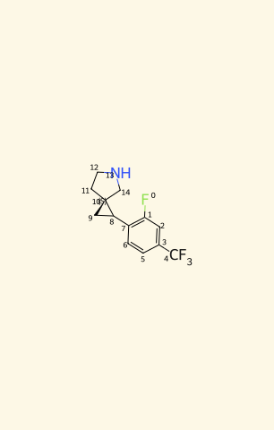 Fc1cc(C(F)(F)F)ccc1C1C[C@]12CCNC2